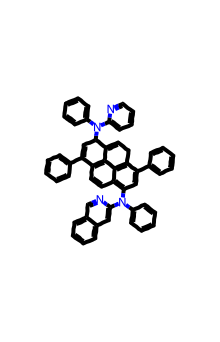 C1=C(c2ccccc2)c2ccc3c(N(c4ccccc4)c4cc5ccccc5cn4)cc(-c4ccccc4)c4c3c2C(=CC4)C1N(c1ccccc1)c1ccccn1